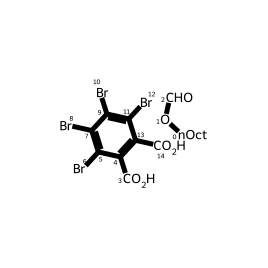 CCCCCCCCOC=O.O=C(O)c1c(Br)c(Br)c(Br)c(Br)c1C(=O)O